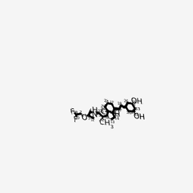 C[C@H](CN1CC(OCC(F)F)C1)[C@H]1CC[C@H]2/C(=C/C=C3C[C@@H](O)C[C@H](O)C3)CCC[C@]12C